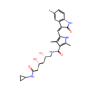 Cc1[nH]c(/C=C2\C(=O)Nc3ccc(F)cc32)c(C)c1C(=O)NC[C@@H](O)C[C@@H](O)CC(=O)NC1CC1